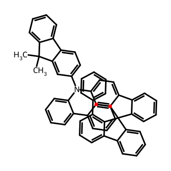 CC1(C)c2ccccc2-c2ccc(N(c3ccc4c(c3)C3(c5ccccc5-4)c4ccccc4-c4cccc(-c5ccccc5)c43)c3ccccc3-c3ccccc3)cc21